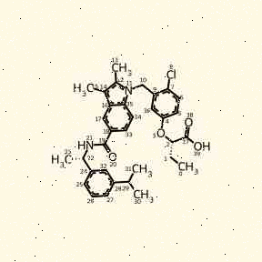 CC[C@H](Oc1ccc(Cl)c(Cn2c(C)c(C)c3cc(C(=O)N[C@@H](C)c4cccc(C(C)C)c4)ccc32)c1)C(=O)O